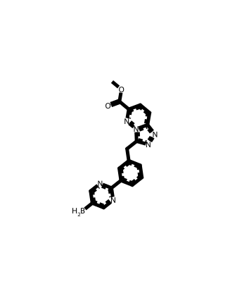 Bc1cnc(-c2cccc(Cc3nnc4ccc(C(=O)OC)nn34)c2)nc1